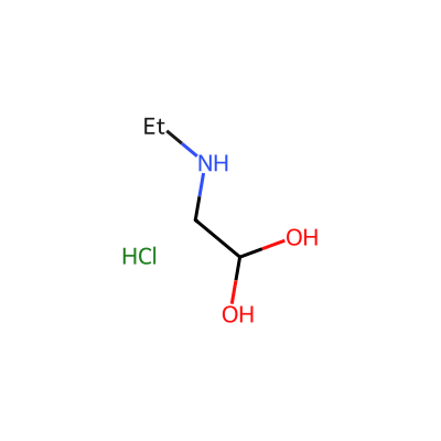 CCNCC(O)O.Cl